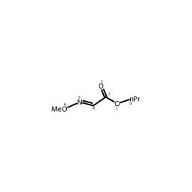 CCCOC(=O)C=NOC